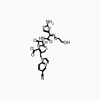 N#Cc1ccc2n(CC3=C(C(=O)[O-])N4C(=O)[C@@H](NC(=O)/C(=N\OCCO)c5csc(N)n5)[C@@H]4SC3)cc[n+]2c1